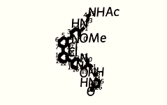 COc1nc(-c2cccc(-c3cccc(-c4ccn5c(=O)c(CNC[C@H]6CCC(=O)N6)cnc5c4)c3Cl)c2Cl)ccc1CNCCNC(C)=O